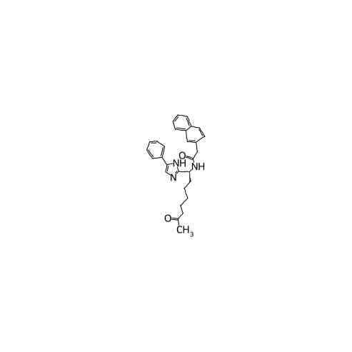 CC(=O)CCCCC[C@H](NC(=O)Cc1ccc2ccccc2c1)c1ncc(-c2ccccc2)[nH]1